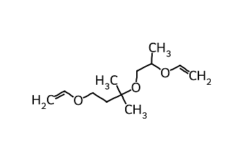 C=COCCC(C)(C)OCC(C)OC=C